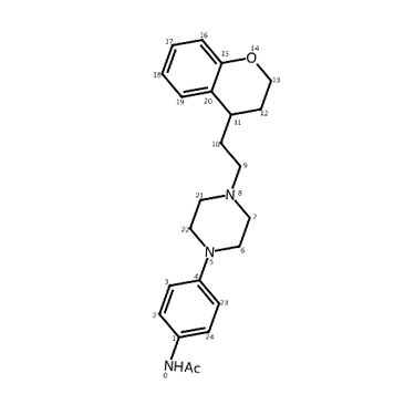 CC(=O)Nc1ccc(N2CCN(CCC3CCOc4ccccc43)CC2)cc1